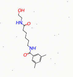 Cc1cc(C)cc(C(=O)NCCCCCC(=O)NCCO)c1